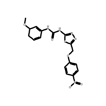 COC1C=C(NC(=O)Nc2nnc(COc3ccc([N+](=O)[O-])cc3)s2)C=CC1